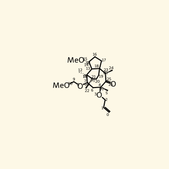 C=CCO[C@]1(C)C[C@@H](OCOC)[C@@]2(C)C3[C@H](OC)CCC3(CC[C@H]2C)[C@@H](C)C1=O